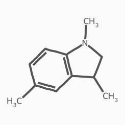 Cc1ccc2c(c1)C(C)CN2C